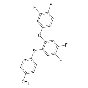 Cc1ccc(Sc2cc(F)c(F)cc2Oc2ccc(F)c(F)c2)cc1